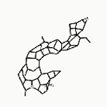 CCC1C2C3C2C2C4C3C3C5CC6C7SC7C(C2C2C7C8C9CC(C)C(C%10CC%11C(C%10)C%10C%12C9C9C%13CC%13C9%13C9CC(C%12[C@@H]9%13)N%10C%11C)C9C%10C(C)C%11C4C(C)C%112[C@@H]7C%10C98)C65C13